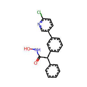 O=C(NO)C(c1ccccc1)c1cccc(-c2ccc(Cl)nc2)c1